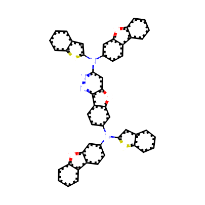 c1ccc2sc(N(c3ccc4c(c3)oc3ccccc34)c3ccc4c(c3)oc3cc(N(c5ccc6c(c5)oc5ccccc56)c5cc6ccccc6s5)nnc34)cc2c1